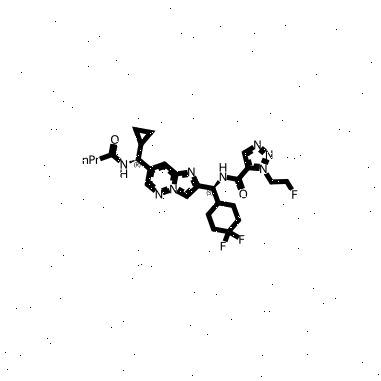 CCCC(=O)N[C@@H](c1cnn2cc([C@@H](NC(=O)c3cnnn3CCF)C3CCC(F)(F)CC3)nc2c1)C1CC1